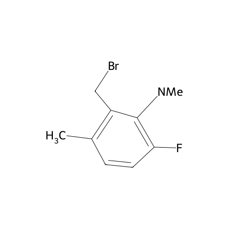 CNc1c(F)ccc(C)c1CBr